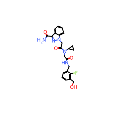 NC(=O)c1nn(CC(=O)N(CC(=O)NCc2cccc(CO)c2F)C2CC2)c2ccccc12